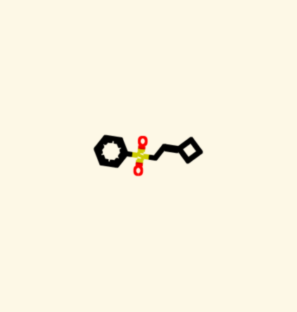 O=S(=O)(CC=C1CCC1)c1ccccc1